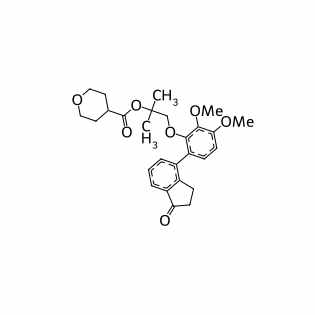 COc1ccc(-c2cccc3c2CCC3=O)c(OCC(C)(C)OC(=O)C2CCOCC2)c1OC